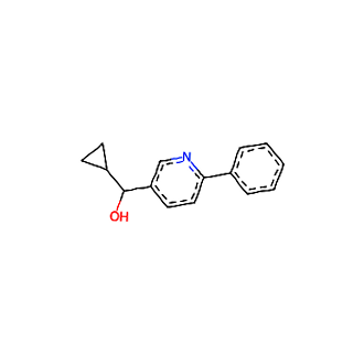 OC(c1ccc(-c2ccccc2)nc1)C1CC1